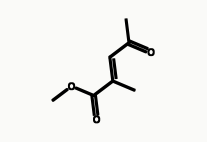 COC(=O)C(C)=CC(C)=O